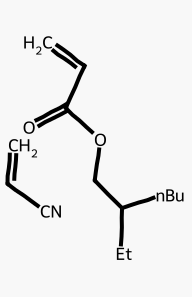 C=CC#N.C=CC(=O)OCC(CC)CCCC